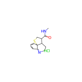 CNC(=O)C1CSC23C=CC=CC2=NCCC13.Cl